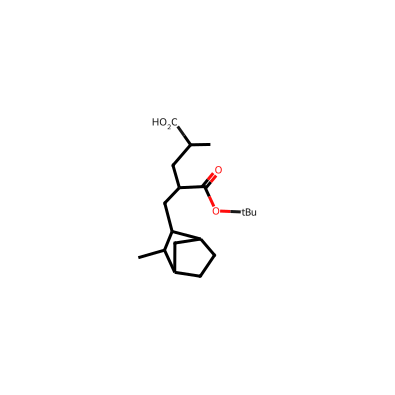 CC(CC(CC1C2CCC(C2)C1C)C(=O)OC(C)(C)C)C(=O)O